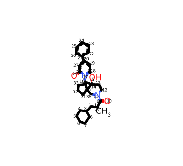 C[C@H](CC1CCCCC1)C(=O)N1CC[C@](O)(Cn2ccc(-c3ccccc3)cc2=O)C2(CCCC2)C1